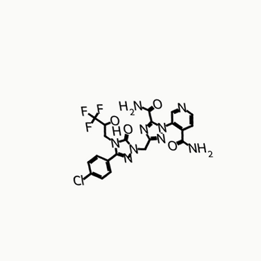 NC(=O)c1ccncc1-n1nc(Cn2nc(-c3ccc(Cl)cc3)n(CC(O)C(F)(F)F)c2=O)nc1C(N)=O